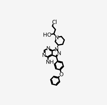 Nc1ncnc2c1c(-c1ccc(Oc3ccccc3)cc1)nn2[C@@H]1CCCN(C(O)CCCl)C1